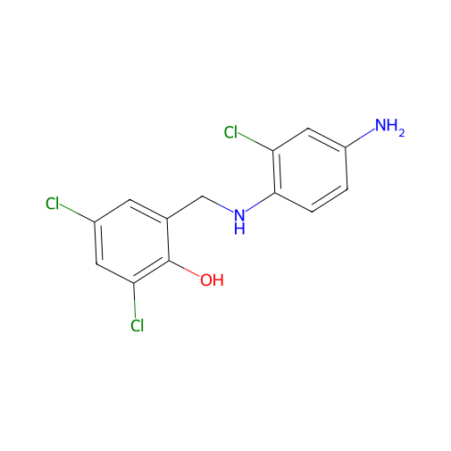 Nc1ccc(NCc2cc(Cl)cc(Cl)c2O)c(Cl)c1